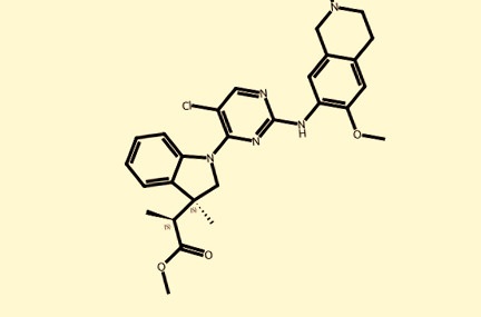 COC(=O)[C@@H](C)[C@]1(C)CN(c2nc(Nc3cc4c(cc3OC)CCN(C)C4)ncc2Cl)c2ccccc21